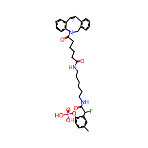 Cc1ccc(OP(=O)(O)O)c(C(F)C(=O)NCCCCCCNC(=O)CCCCC(=O)N2Cc3ccccc3/C=C\c3ccccc32)c1